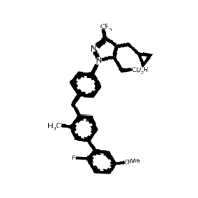 COc1ccc(F)c(-c2ccc(Cc3ccc(N4N=C(C(F)(F)F)C(CC5CC5)C4CC(=O)O)cc3)c(C)c2)c1